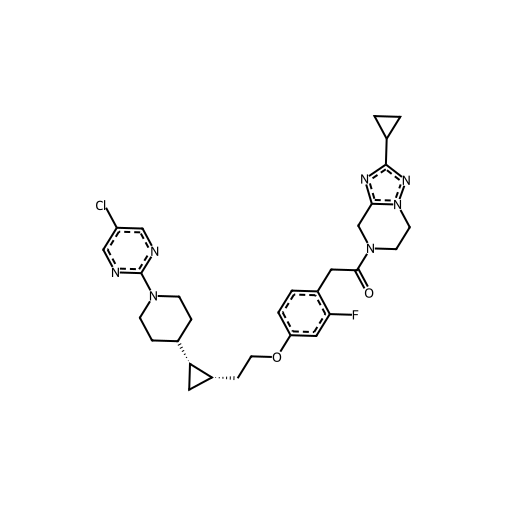 O=C(Cc1ccc(OCC[C@@H]2C[C@@H]2C2CCN(c3ncc(Cl)cn3)CC2)cc1F)N1CCn2nc(C3CC3)nc2C1